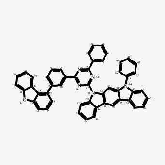 c1ccc(-c2nc(-c3cccc(-c4cccc5oc6ccccc6c45)c3)nc(-n3c4ccccc4c4cc5c6ccccc6n(-c6ccccc6)c5cc43)n2)cc1